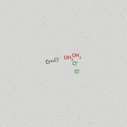 O.O.[Cl-].[Cl-].[Cl-].[Cr+3]